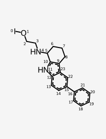 IOCCNC1CCCc2c1[nH]c1ccc(-c3ccccc3)cc21